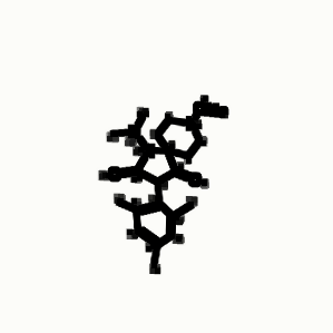 CON1CCC2(CC1)C(=O)C(c1c(C)cc(C)cc1C)C(=O)N2N(C)C